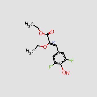 CCOC(=O)/C(=C/c1cc(F)c(O)c(F)c1)OCC